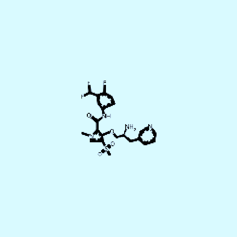 Cn1cc(S(C)(=O)=O)c(OC[C@@H](N)Cc2cccnc2)c1C(=O)Nc1ccc(F)c(C(F)F)c1